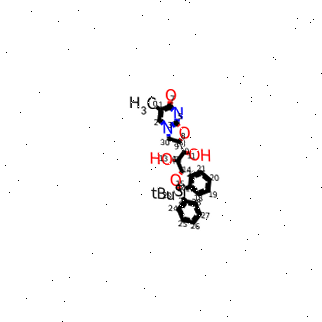 Cc1cn2c(nc1=O)O[C@H](C(O)[C@H](O)CO[Si](c1ccccc1)(c1ccccc1)C(C)(C)C)C2